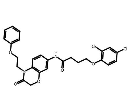 O=C(CCCOc1ccc(Cl)cc1Cl)Nc1ccc2c(c1)OCC(=O)N2CCOc1ccccc1